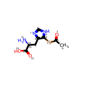 CC(=O)Sc1[nH]cnc1C[C@H](N)C(=O)O